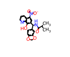 CC(C)C(=O)NC(c1ccc2c(c1)OCO2)c1cc([N+](=O)[O-])c2cccnc2c1O